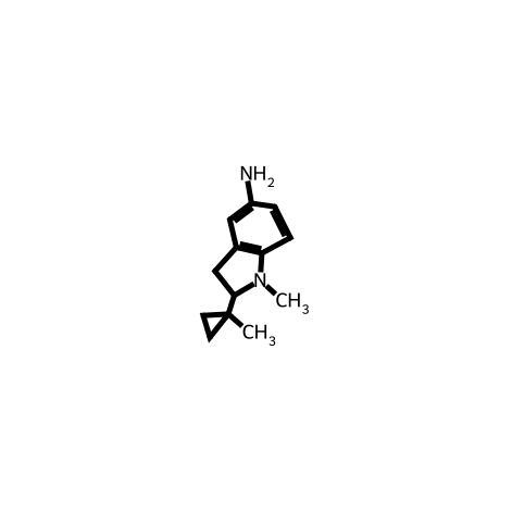 CN1c2ccc(N)cc2CC1C1(C)CC1